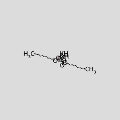 CCCCCCCCCCCCOC(=O)CC(C(=O)OCCCCCCCCCCCC)S(=O)(=O)O.[KH].[KH]